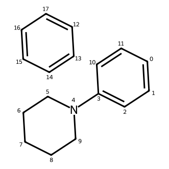 c1ccc(N2CCCCC2)cc1.c1ccccc1